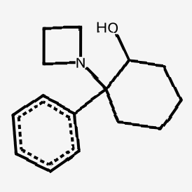 OC1CCCCC1(c1ccccc1)N1CCC1